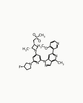 COc1ccncc1-c1cc2c(cnn2-c2cc(N3C[C@H](CS(C)(=O)=O)[C@H]3C)cc(N3CC[C@@H](F)C3)n2)c(C)n1